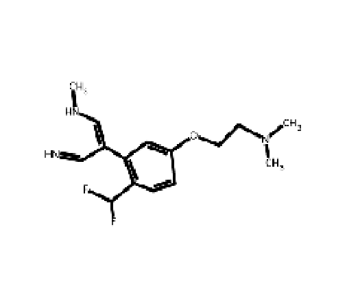 CN/C=C(\C=N)c1cc(OCCN(C)C)ccc1C(F)F